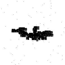 CO[Si](COCC(O)CNc1ccc(-c2ccc(NCC(O)OC[Si](OC)(OC)OC)cc2SOOO)c(S(=O)(=O)O)c1)(OC)OC